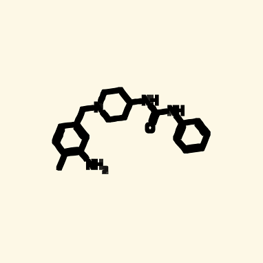 Cc1ccc(CN2CCC(NC(=O)Nc3ccccc3)CC2)cc1N